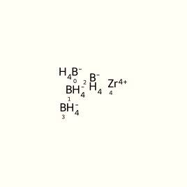 [BH4-].[BH4-].[BH4-].[BH4-].[Zr+4]